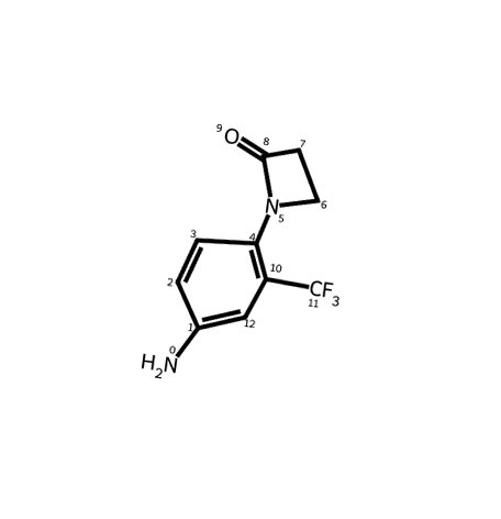 Nc1ccc(N2CCC2=O)c(C(F)(F)F)c1